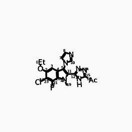 CCOc1cc2c(-n3ccnc3)c(-c3nnc(C(C)=O)[nH]3)n(C)c2c(F)c1Cl